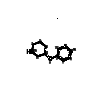 c1cc(OC2CCCNC2)ccn1